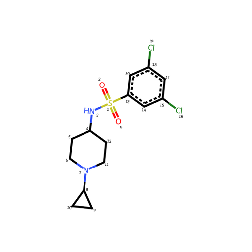 O=S(=O)(NC1CCN(C2CC2)CC1)c1cc(Cl)cc(Cl)c1